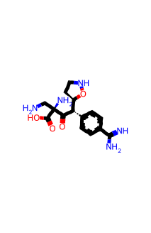 N=C(N)c1ccc([C@H](C(=O)[C@@](N)(CN)C(=O)O)[C@H]2CCNO2)cc1